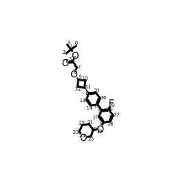 CC(C)(C)OC(=O)CO[C@H]1C[C@@H](c2ccc(-c3cc(OC4CCCOC4)ccc3F)cc2)C1